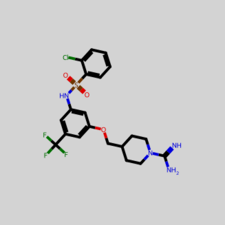 N=C(N)N1CCC(COc2cc(NS(=O)(=O)c3ccccc3Cl)cc(C(F)(F)F)c2)CC1